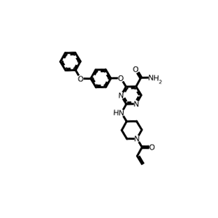 C=CC(=O)N1CCC(Nc2ncc(C(N)=O)c(Oc3ccc(Oc4ccccc4)cc3)n2)CC1